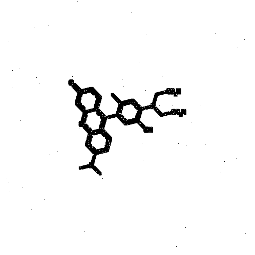 Cc1cc(N(CC(=O)O)CC(=O)O)c(O)cc1-c1c2ccc(=O)cc-2oc2cc(N(C)C)ccc12